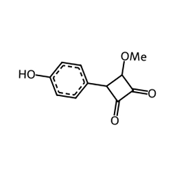 COC1C(=O)C(=O)C1c1ccc(O)cc1